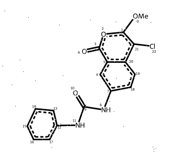 COc1oc(=O)c2cc(NC(=O)Nc3ccccc3)ccc2c1Cl